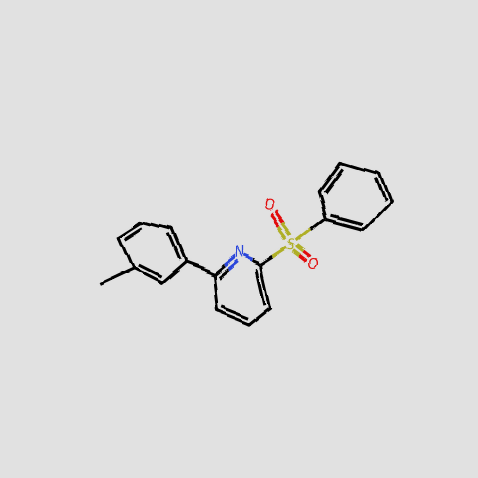 Cc1cccc(-c2cccc(S(=O)(=O)c3ccccc3)n2)c1